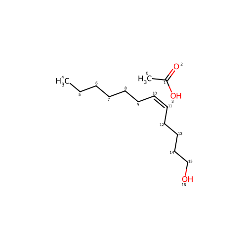 CC(=O)O.CCCCCC/C=C\CCCCO